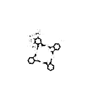 NS(=O)(=O)c1cc2c3nc4nc(nc5[nH]c(nc6nc(nc([nH]3)c2c(S(=O)(=O)[O-])c1S(=O)(=O)[O-])-c1ccccc1-6)c1ccccc51)-c1ccccc1-4.[Cu+2]